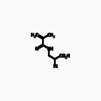 C=C(C)C(=O)NCC(CC)C(=O)O